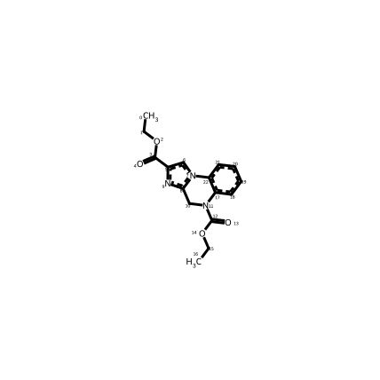 CCOC(=O)c1cn2c(n1)CN(C(=O)OCC)c1ccccc1-2